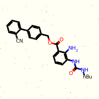 CCCCNC(=O)Nc1cccc(C(=O)OCc2ccc(-c3ccccc3C#N)cc2)c1N